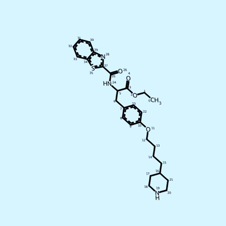 CCOC(=O)C(Cc1ccc(OCCCCC2CCNCC2)cc1)NC(=O)c1nc2ccccc2s1